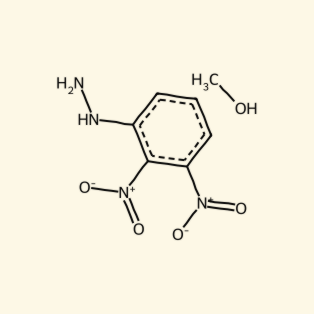 CO.NNc1cccc([N+](=O)[O-])c1[N+](=O)[O-]